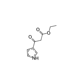 CCOC(=O)CC(=O)c1cc[nH]c1